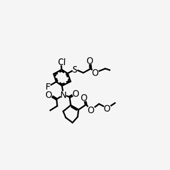 CCOC(=O)CSc1cc(N(C(=O)CC)C(=O)C2=C(C(=O)OCOC)CCCC2)c(F)cc1Cl